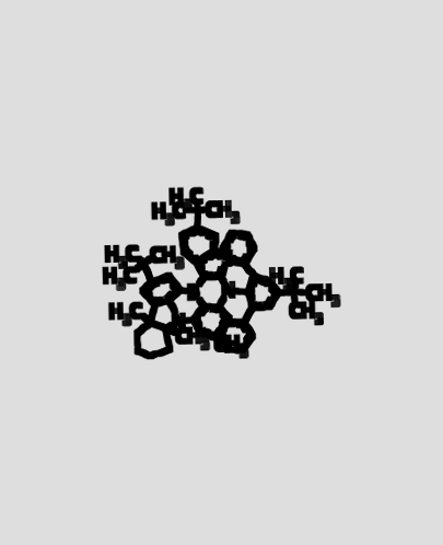 Cc1cc2c3c(c1)N1c4c(cc(C(C)(C)C)cc4C4(C)CCCCC14C)B3c1c(sc3cc(C(C)(C)C)ccc13)N2c1c(-c2ccccc2)cc(C(C)(C)C)cc1-c1ccccc1